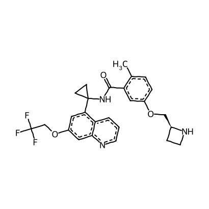 Cc1ccc(OC[C@@H]2CCN2)cc1C(=O)NC1(c2cc(OCC(F)(F)F)cc3ncccc23)CC1